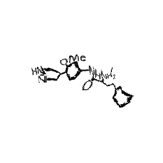 COc1cc(NC(=O)C(N)CCc2ccccc2)ccc1-c1cn[nH]c1